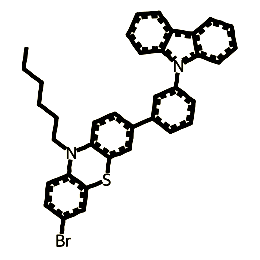 CCCCCCN1c2ccc(Br)cc2Sc2cc(-c3cccc(-n4c5ccccc5c5ccccc54)c3)ccc21